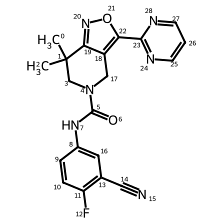 CC1(C)CN(C(=O)Nc2ccc(F)c(C#N)c2)Cc2c1noc2-c1ncccn1